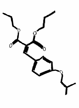 CCCOC(=O)C(=Cc1ccc(OCC(C)C)cc1)C(=O)OCCC